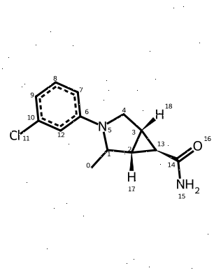 CC1[C@@H]2[C@H](CN1c1cccc(Cl)c1)[C@H]2C(N)=O